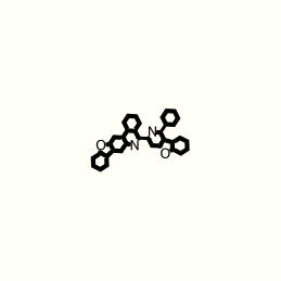 c1ccc(-c2nc(-c3nc4cc5c(cc4c4ccccc34)oc3ccccc35)cc3oc4ccccc4c23)cc1